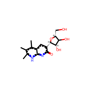 Cc1[nH]c2nc(=O)c([C@@H]3O[C@H](CO)C(O)[C@@H]3O)cc-2c(C)c1C